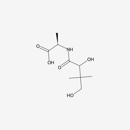 C[C@@H](NC(=O)C(O)C(C)(C)CO)C(=O)O